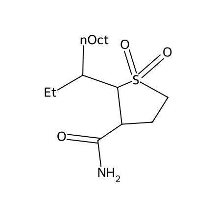 CCCCCCCCC(CC)C1C(C(N)=O)CCS1(=O)=O